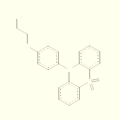 O=S1(=O)c2ccccc2[S+](c2ccc(OCCO)cc2)c2ccccc21